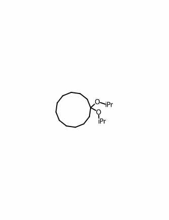 CC(C)OC1(OC(C)C)CCCCCCCCCCC1